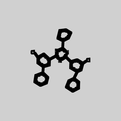 Clc1cc(-c2ccccc2)cc(-c2nc(-c3ccccc3)nc(-c3cc(Cl)cc(-c4ccccc4)c3)n2)c1